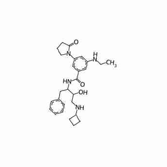 CCNc1cc(C(=O)NC(Cc2ccccc2)C(O)CNC2CCC2)cc(N2CCCC2=O)c1